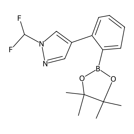 CC1(C)OB(c2ccccc2-c2cnn(C(F)F)c2)OC1(C)C